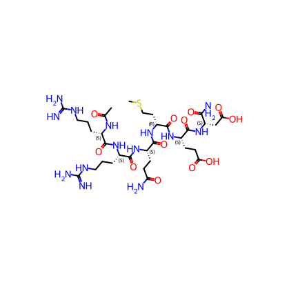 CSCC[C@@H](NC(=O)[C@H](CCC(N)=O)NC(=O)[C@H](CCCNC(=N)N)NC(=O)[C@H](CCCNC(=N)N)NC(C)=O)C(=O)N[C@@H](CCC(=O)O)C(=O)N[C@@H](CC(=O)O)C(N)=O